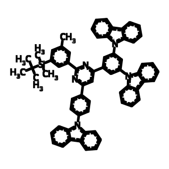 Cc1cc(-c2nc(-c3ccc(-n4c5ccccc5c5ccccc54)cc3)cc(-c3cc(-n4c5ccccc5c5ccccc54)cc(-n4c5ccccc5c5ccccc54)c3)n2)cc([Si](C)(C)C(C)(C)C)c1